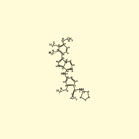 C=C=C(NC1CCCC1)c1ccc(Nc2nccn3c(-c4ccc(OC)c(C)c4C)cnc23)cc1CC